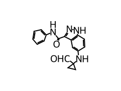 O=CC1(Nc2ccc3[nH]nc(C(=O)Nc4ccccc4)c3c2)CC1